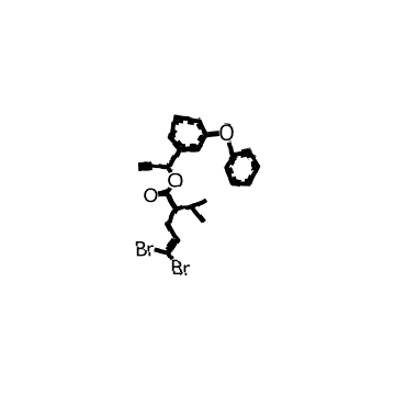 C#CC(OC(=O)C(CC=C(Br)Br)C(C)C)c1cccc(Oc2ccccc2)c1